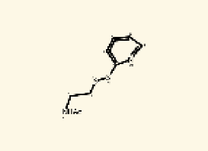 CC(=O)NCCSSC1=C=C=CC=N1